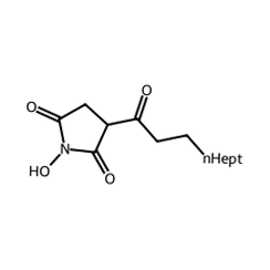 CCCCCCCCCC(=O)C1CC(=O)N(O)C1=O